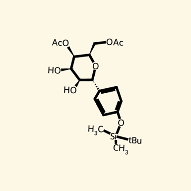 CC(=O)OC[C@H]1O[C@H](c2ccc(O[Si](C)(C)C(C)(C)C)cc2)[C@@H](O)[C@@H](O)[C@H]1OC(C)=O